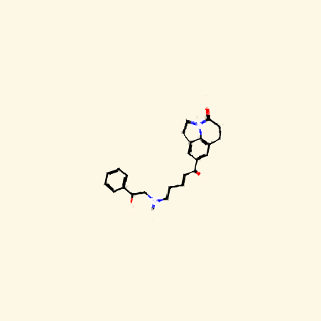 O=C(CCCCN(CC(O)c1ccccc1)C(=O)O)c1cc2c3c(c1)CCN3C(=O)CC2